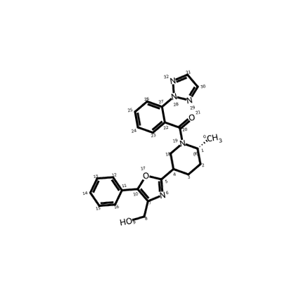 C[C@@H]1CCC(c2nc(CO)c(-c3ccccc3)o2)CN1C(=O)c1ccccc1-n1nccn1